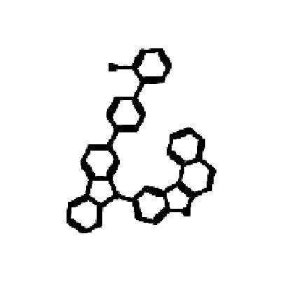 Brc1ccccc1-c1ccc(-c2ccc3c4ccccc4n(-c4ccc5oc6ccc7ccccc7c6c5c4)c3c2)cc1